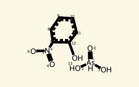 O=[AsH](O)O.O=[N+]([O-])c1ccccc1O